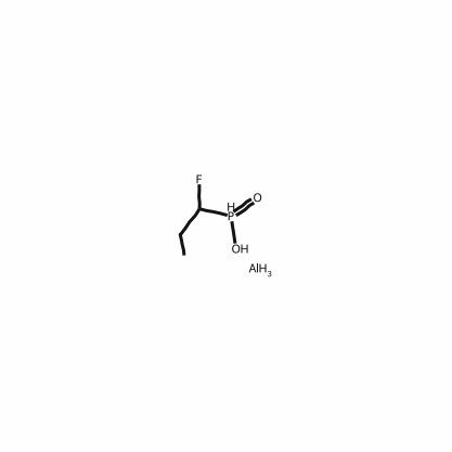 CCC(F)[PH](=O)O.[AlH3]